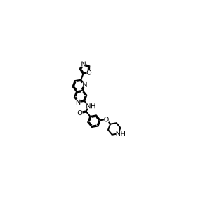 O=C(Nc1cc2nc(-c3cnco3)ccc2cn1)c1cccc(OC2CCNCC2)c1